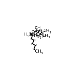 CCCCCC[Si](C)(C)O[Si](C)(C)O[Si](C)(C)C